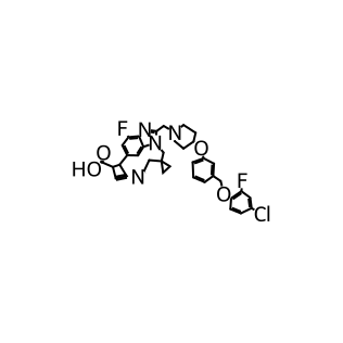 N#CCC1(Cn2c(CN3CCC(Oc4cccc(COc5ccc(Cl)cc5F)c4)CC3)nc3c(F)cc(C4C#CC4C(=O)O)cc32)CC1